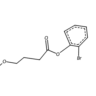 COCCCC(=O)Oc1ccccc1Br